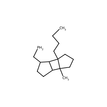 CCCCC12CCCC1(C)C1CCC(CP)C12